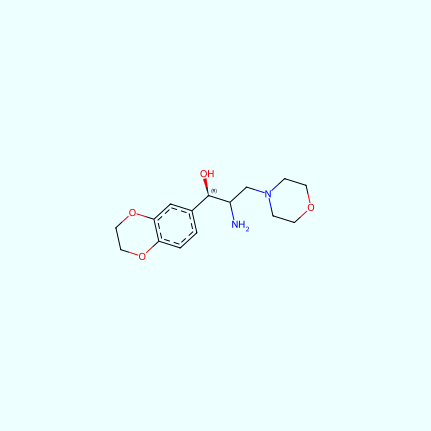 NC(CN1CCOCC1)[C@H](O)c1ccc2c(c1)OCCO2